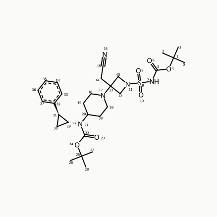 CC(C)(C)OC(=O)NS(=O)(=O)N1CC(CC#N)(N2CCC(N(C(=O)OC(C)(C)C)[C@@H]3C[C@H]3c3ccccc3)CC2)C1